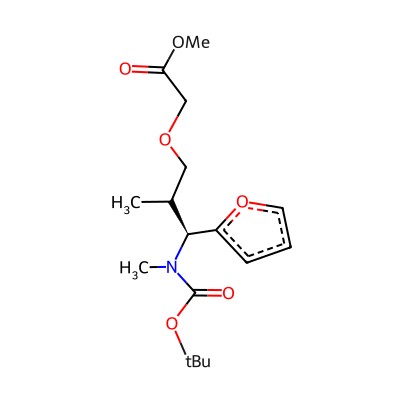 COC(=O)COCC(C)[C@@H](c1ccco1)N(C)C(=O)OC(C)(C)C